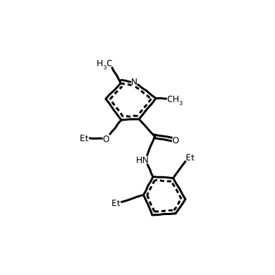 CCOc1cc(C)nc(C)c1C(=O)Nc1c(CC)cccc1CC